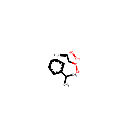 C=CCOO.CC(C)c1ccccc1.OO